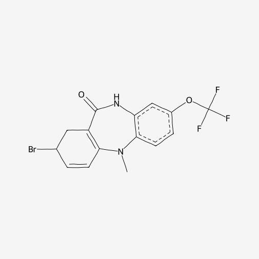 CN1C2=C(CC(Br)C=C2)C(=O)Nc2cc(OC(F)(F)F)ccc21